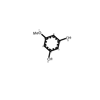 [CH]c1cc([CH])cc(OC)c1